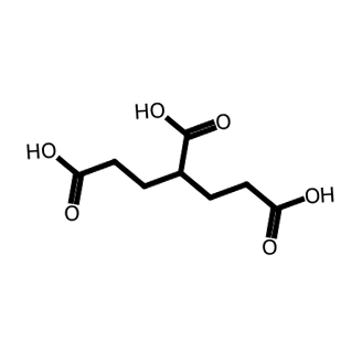 O=C(O)CCC(CCC(=O)O)C(=O)O